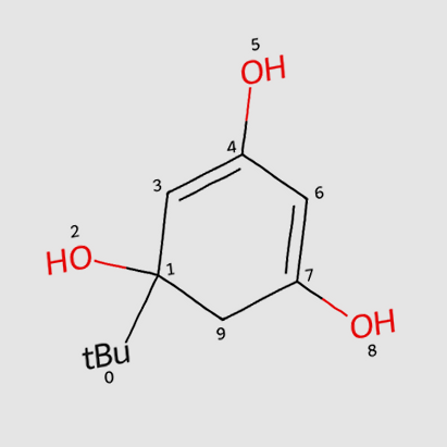 CC(C)(C)C1(O)C=C(O)C=C(O)C1